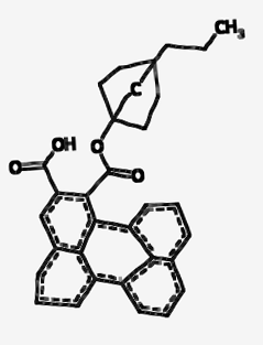 CCCC12CCC(OC(=O)c3c(C(=O)O)cc4cccc5c6cccc7cccc(c3c45)c76)(CC1)CC2